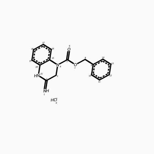 Cl.N=C1CN(C(=O)OCc2ccccc2)c2ccccc2N1